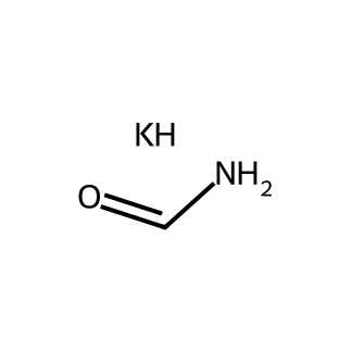 NC=O.[KH]